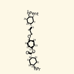 CCCCC[C@H]1CC[C@H](C=CCOc2ccc(OC(=O)[C@H]3CC[C@H](CCC)CC3)cc2)CC1